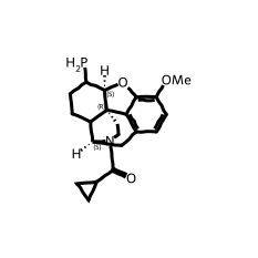 COc1ccc2c3c1O[C@@H]1C(P)CCC4[C@H](C2)N(C(=O)C2CC2)CC[C@]341